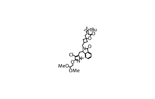 COC(COc1nn(C)c(CC2c3ccccc3C(=O)N2CC2CC3(C2)CN([Si](C)(C)C(C)(C)C)C(=O)O3)c1Cl)OC